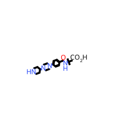 CC(C)(CC(=O)O)NC(=O)c1ccc(N2CCN(C3CCNCC3)CC2)cc1